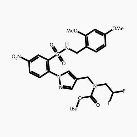 COc1ccc(CNS(=O)(=O)c2cc([N+](=O)[O-])ccc2-n2cc(CN(CC(F)F)C(=O)OC(C)(C)C)cn2)c(OC)c1